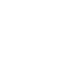 COC=C(C(=O)OC)c1cccc2ccc(Br)cc12